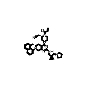 C=CC(=O)N1CCN(c2nc(NCC3(CN4CCCC4)CC3)nc3c2CCN(c2cccc4cccc(C)c24)C3)C[C@@H]1CC#N